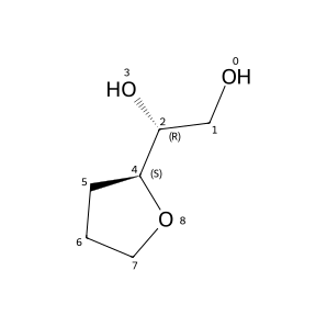 OC[C@@H](O)[C@@H]1CCCO1